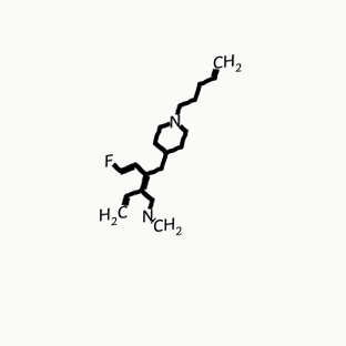 C=CCCCN1CCC(CC(/C=C/F)=C(/C=C)CN=C)CC1